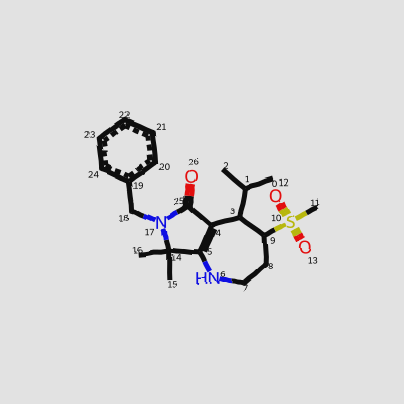 CC(C)C1C2=C(NCCC1S(C)(=O)=O)C(C)(C)N(Cc1ccccc1)C2=O